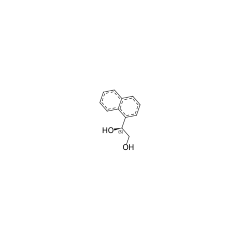 OC[C@@H](O)c1cccc2ccccc12